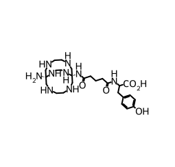 N[C@]12CNCCNC[C@](NC(=O)CCCC(=O)NC(Cc3ccc(O)cc3)C(=O)O)(CNCCNC1)NCCN2